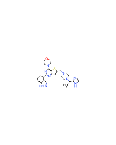 CC(c1ncc[nH]1)N1CCN(Cc2cc3nc(-c4cccc5[nH]ncc45)nc(N4CCOCC4)c3s2)CC1